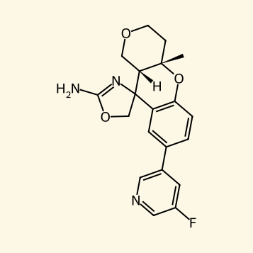 C[C@]12CCOC[C@H]1C1(COC(N)=N1)c1cc(-c3cncc(F)c3)ccc1O2